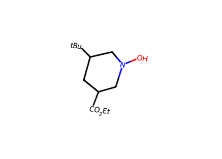 CCOC(=O)C1CC(C(C)(C)C)CN(O)C1